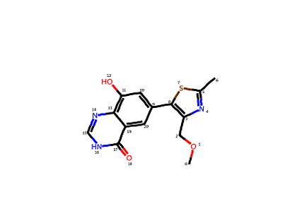 COCc1nc(C)sc1-c1cc(O)c2nc[nH]c(=O)c2c1